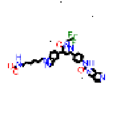 O=C(O)NCCCCCCn1ncc2cc(-c3cc(-c4ccc(NC(=O)N5Cc6ccncc6C5)cc4)nn(CC(F)(F)F)c3=O)ccc21